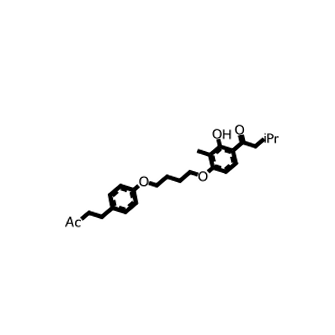 CC(=O)CCc1ccc(OCCCCOc2ccc(C(=O)CC(C)C)c(O)c2C)cc1